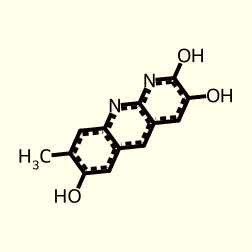 Cc1cc2nc3nc(O)c(O)cc3cc2cc1O